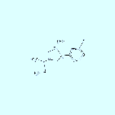 O=C[C@H]1CN(C(CC(F)(F)F)C(=O)O)C[C@@H]1c1cccc(F)c1